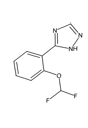 FC(F)Oc1ccccc1-c1n[c]n[nH]1